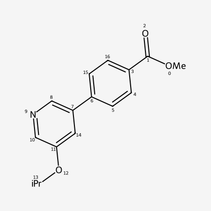 COC(=O)c1ccc(-c2cncc(OC(C)C)c2)cc1